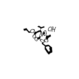 CCCOC(=O)[C@H](C(C)C)N(OC(C)=O)C(=O)OCc1ccccc1.Cl